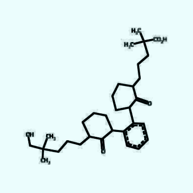 CC(C)(CO)CCCC1CCCC(c2ccccc2C2CCCC(CCCC(C)(C)C(=O)O)C2=O)C1=O